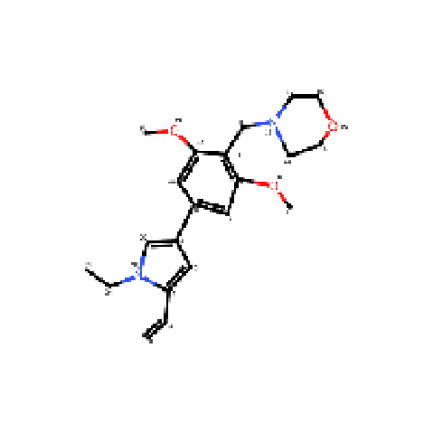 C=Cc1cc(-c2cc(OC)c(CN3CCOCC3)c(OC)c2)cn1CC